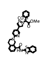 COC(=O)C(c1ccccc1)N1CC(c2ccc(N3CCc4cccc(C(=O)Nc5nc6ccccc6s5)c4C3)nc2)=CN1C(=O)O